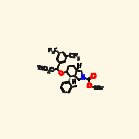 CCOC(=O)[C@H](O[C@H]1CC[C@@H]2CN(C(=O)OC(C)(C)C)C[C@H]2[C@@H]1c1ccccc1C)c1cc(C(F)(F)F)cc(C(F)(F)F)c1